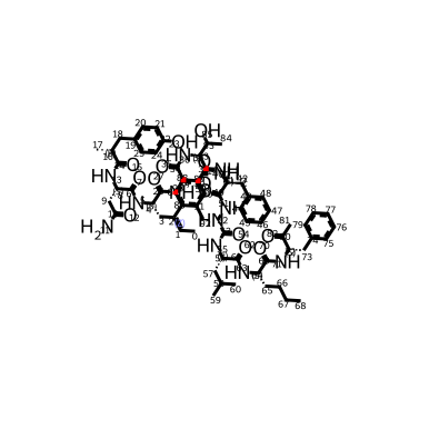 C/C=C(/C[C@H](NC(=O)[C@H](CC(N)=O)NC(=O)[C@H](C)Cc1ccc(O)cc1)C(=O)N[C@@H](CC(N)=O)C(=O)N[C@H](C(=O)N[C@@H](Cc1ccccc1)C(=O)NNC(=O)N[C@@H](CC(C)C)C(=O)N[C@@H](CCCC)C(=O)N[C@@H](Cc1ccccc1)C(C)=O)C(C)O)c1ccccc1C